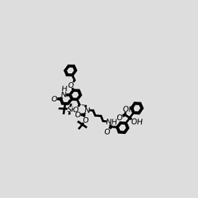 CC(C)(C)OC(=O)N(CCCCNC(=O)c1cccc(C(O)(C(=O)O)c2ccccc2)c1)C[C@H](O[Si](C)(C)C(C)(C)C)c1ccc(OCc2ccccc2)c2[nH]c(=O)ccc12